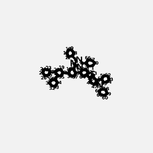 c1ccc(-c2nc(-c3ccccc3)nc(-c3cc(-c4ccc(-c5ccccc5)c(-c5ccccc5)c4)ccc3-c3ccc4sc5c(ccc6c5c5ccccc5n6-c5ccccc5)c4c3)n2)cc1